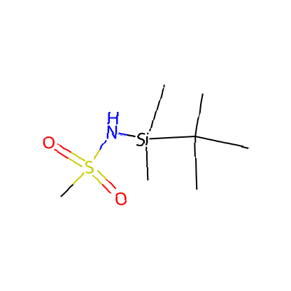 CC(C)(C)[Si](C)(C)NS(C)(=O)=O